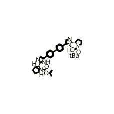 C=C(C)OC(=O)N1[C@@H]2CC[C@@H](C2)[C@H]1c1ncc(-c2ccc(-c3ccc(-c4cnc([C@@H]5CCCN5C(=O)OC(C)(C)C)[nH]4)cc3)cc2)[nH]1